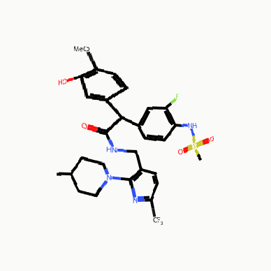 COc1ccc(C(C(=O)NCc2ccc(C(F)(F)F)nc2N2CCC(C)CC2)c2ccc(NS(C)(=O)=O)c(F)c2)cc1O